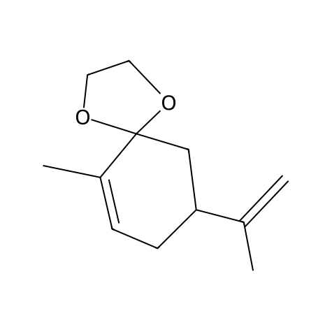 C=C(C)C1CC=C(C)C2(C1)OCCO2